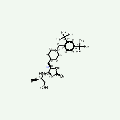 C#C[C@H](CO)NC1=NC(=O)S/C1=C\C1CCN(Cc2ccc(C(F)(F)F)cc2C(F)(F)F)CC1